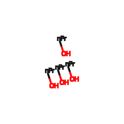 CCCO.CCCO.CCCO.CCCO